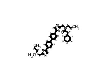 CCCN(C)Cc1ncc(-c2ccc(-c3ccc(-c4cnc(CN(CCC)C(=O)CC5CCCCC5)s4)cc3)cc2)s1